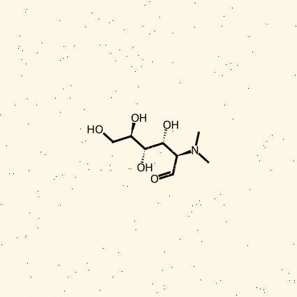 CN(C)[C@@H](C=O)[C@@H](O)[C@H](O)[C@H](O)CO